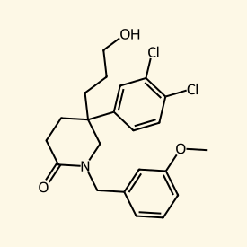 COc1cccc(CN2CC(CCCO)(c3ccc(Cl)c(Cl)c3)CCC2=O)c1